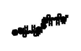 O=C(NCCCNC(=O)c1cc(-c2ccc(-c3ccc(C(=O)NCCCNC(=O)c4cc(-c5ccccc5)on4)c(F)n3)s2)on1)c1cncc(F)c1